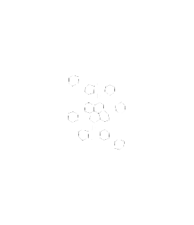 Cc1cccc(C)c1-c1cc2c3c(cc4c(-c5c(C)cccc5C)cc5c6c(cc1c3c46)B1c3ccccc3Oc3cc(-c4ccccc4)cc-5c31)B1c3ccccc3Oc3cc(-c4ccccc4)cc-2c31